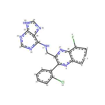 Fc1cccc2nc(-c3ccccc3Cl)c(CNc3ncnc4[nH]cnc34)nc12